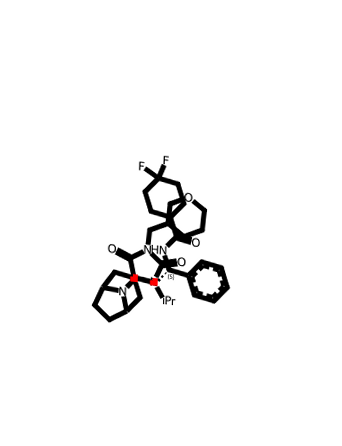 CC(C)N1C(=O)N(CC2CCCOC2)C(=O)C12CC1CCC(C2)N1CC[C@H](NC(=O)C1CCC(F)(F)CC1)c1ccccc1